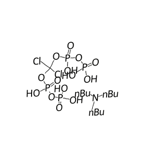 CCCCN(CCCC)CCCC.O=P(O)(O)OP(=O)(O)OC(Cl)(Cl)OP(=O)(O)OP(=O)(O)O